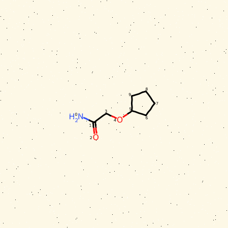 NC(=O)COC1CCCC1